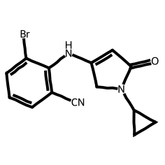 N#Cc1cccc(Br)c1NC1=CC(=O)N(C2CC2)C1